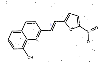 O=[N+]([O-])c1ccc(/C=C/c2ccc3cccc(O)c3n2)o1